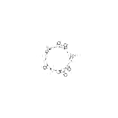 CCCC[C@H]1C(=O)N2CCC[C@@H]2C(=O)N[C@@H](CC(=O)O)C(=O)N[C@@H](C(C)C)C(=O)N(C)[C@@H](Cc2ccccc2)C(=O)N[C@@H](CCC(=O)O)C(=O)N2CCCC[C@@H]2C(=O)N[C@@H](Cc2c[nH]c3ccccc23)C(=O)N[C@@H](Cc2ccc(O)cc2)C(=O)N[C@@H](CC(C)C)C(=O)N[C@H](C(=O)NCC(N)=O)CSCC(=O)N[C@@H](Cc2cc(F)c(F)c(F)c2)C(=O)N(C)[C@@H](Cc2ccc(F)cc2)C(=O)N1C